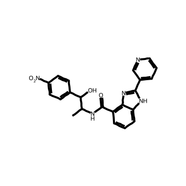 CC(NC(=O)c1cccc2[nH]c(-c3cccnc3)nc12)C(O)c1ccc([N+](=O)[O-])cc1